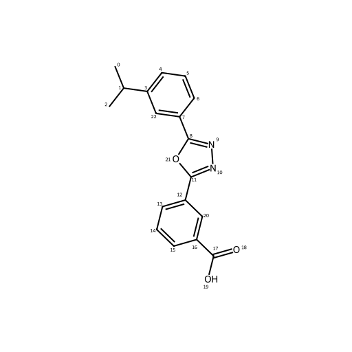 CC(C)c1cccc(-c2nnc(-c3cccc(C(=O)O)c3)o2)c1